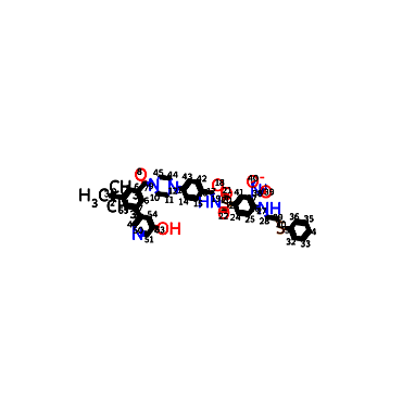 CC(C)(C)c1cc(C(=O)N2CCN(c3ccc(C(=O)NS(=O)(=O)c4ccc(NCCSc5ccccc5)c([N+](=O)[O-])c4)cc3)CC2)cc(-c2cncc(O)c2)c1